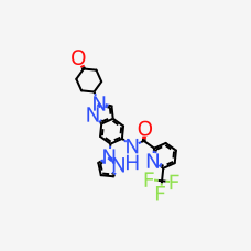 O=C1CCC(n2cc3cc(NC(=O)c4cccc(C(F)(F)F)n4)c(-n4cccn4)cc3n2)CC1